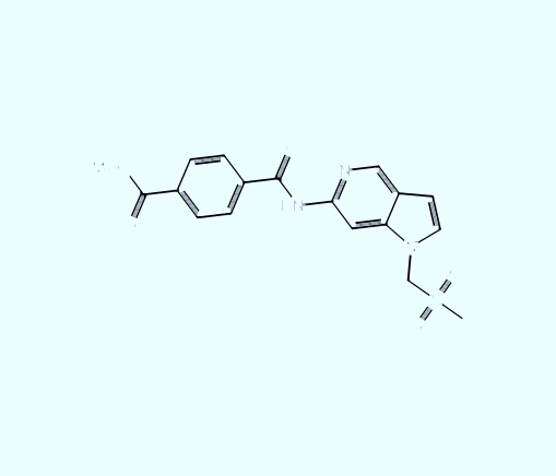 COC(=O)c1ccc(C(=O)Nc2cc3c(ccn3CS(C)(=O)=O)cn2)cc1